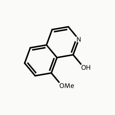 COc1cccc2ccnc(O)c12